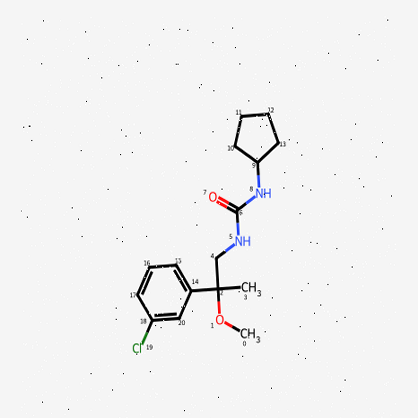 COC(C)(CNC(=O)NC1CCCC1)c1cccc(Cl)c1